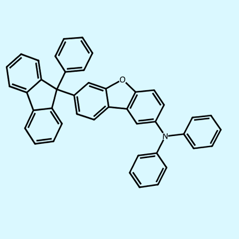 c1ccc(N(c2ccccc2)c2ccc3oc4cc(C5(c6ccccc6)c6ccccc6-c6ccccc65)ccc4c3c2)cc1